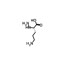 NCCC[C@H](NN)C(=O)O